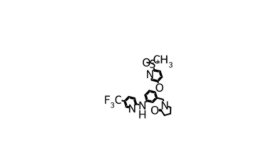 C[S+]([O-])c1ccc(Oc2ccc(Nc3ccc(C(F)(F)F)cn3)cc2CN2CCCC2=O)cn1